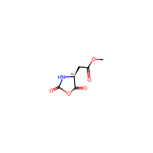 COC(=O)C[C@@H]1NC(=O)OC1=O